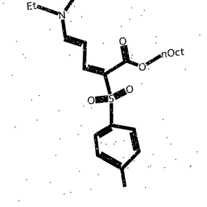 CCCCCCCCOC(=O)C(=CC=CN(C)CC)S(=O)(=O)c1ccc(C)cc1